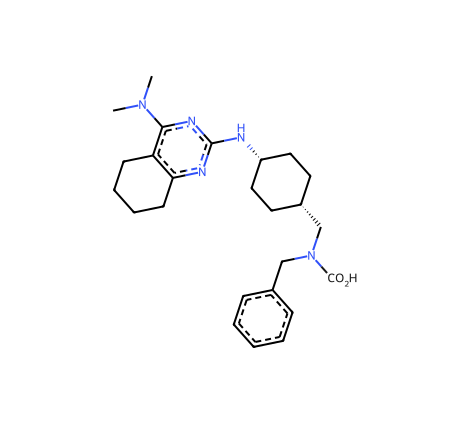 CN(C)c1nc(N[C@H]2CC[C@@H](CN(Cc3ccccc3)C(=O)O)CC2)nc2c1CCCC2